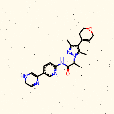 Cc1nn(C(C)C(=O)Nc2ccc(C3=CNCC=N3)cn2)c(C)c1C1=CCOCC1